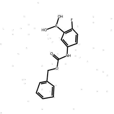 O=C(Nc1ccc(F)c(B(O)O)c1)OCc1ccccc1